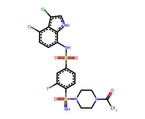 N=S(=O)(c1ccc(S(=O)(=O)Nc2ccc(Cl)c3c(Cl)c[nH]c23)cc1F)N1CCN(C(=O)C(F)(F)F)CC1